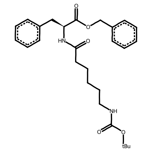 CC(C)(C)OC(=O)NCCCCCC(=O)N[C@@H](Cc1ccccc1)C(=O)OCc1ccccc1